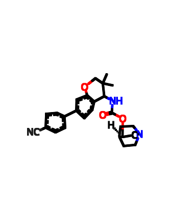 CC1(C)COc2cc(-c3ccc(C#N)cc3)ccc2C1NC(=O)O[C@H]1CN2CCC1CC2